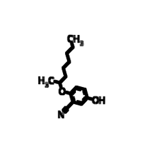 CCCCCCC(C)Oc1ccc(O)cc1C#N